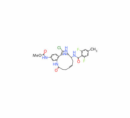 COC(=O)Nc1ccc2c(c1)NC(=O)CCC=CCC(NC(=O)c1c(F)cc(C)cc1F)c1nc-2c(Cl)[nH]1